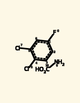 Fc1ccc(Cl)c(Cl)c1.NC(=O)O